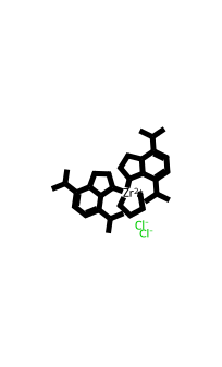 CC(C)C1=CC=C(C(C)C)C2C1CC[CH]2[Zr+2]1([CH]2CCC3C(C(C)C)=CC=C(C(C)C)C32)[CH2]CC[CH2]1.[Cl-].[Cl-]